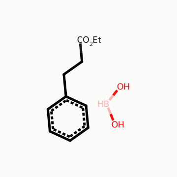 CCOC(=O)CCc1ccccc1.OBO